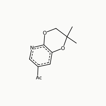 CC(=O)c1cnc2c(c1)OC(C)(C)CO2